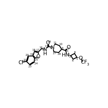 O=C(N[C@H]1C[C@@H](OC(F)(F)F)C1)C1CCN(C(=O)NCc2cc3cc(Cl)ccc3o2)CC1